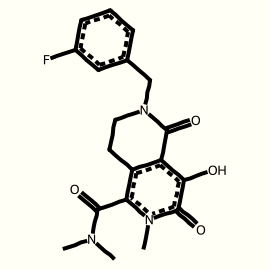 CN(C)C(=O)c1c2c(c(O)c(=O)n1C)C(=O)N(Cc1cccc(F)c1)CC2